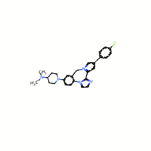 CN(C)C1CCN(c2ccc3c(c2)Cn2cc(-c4ccc(F)cc4)cc2-c2nccn2-3)CC1